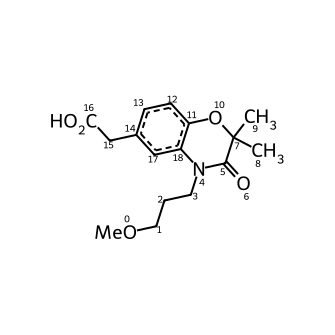 COCCCN1C(=O)C(C)(C)Oc2ccc(CC(=O)O)cc21